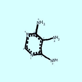 CNc1ncnc(N)c1N